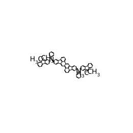 CC1(C)c2ccccc2-c2ccc(N(c3ccccc3)c3ccc4c(c3)c3cccc5c6cc7c8ccc(N(c9ccccc9)c9ccc%10c(c9)C(C)(C)c9ccccc9-%10)cc8c8cccc(c6cc4c35)c87)cc21